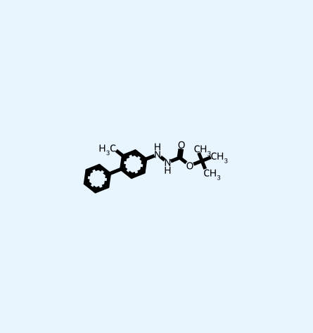 Cc1cc(NNC(=O)OC(C)(C)C)ccc1-c1ccccc1